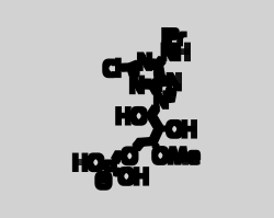 CO[C@H](COCP(=O)(O)O)[C@@H](O)[C@@H](O)n1cnc2c(NC(C)C)nc(Cl)nc21